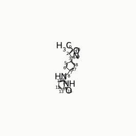 Cc1cc(-c2ccc(CNc3cccc(=O)[nH]3)cc2)no1